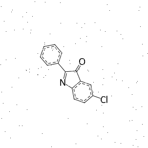 O=C1C(c2ccccc2)=Nc2ccc(Cl)cc21